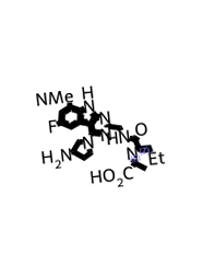 CC/C=C(\N=C(/C)C(=O)O)C(=O)NCc1nc(N2CCC(N)C2)c2c(n1)[nH]c1c(NC)cc(F)cc12